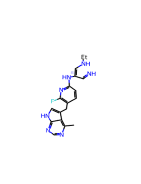 CCN/C=C(\C=N)Nc1ccc(Cc2c[nH]c3ncnc(C)c23)c(F)n1